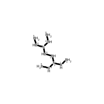 BBN(BB)BBN(BB)BB